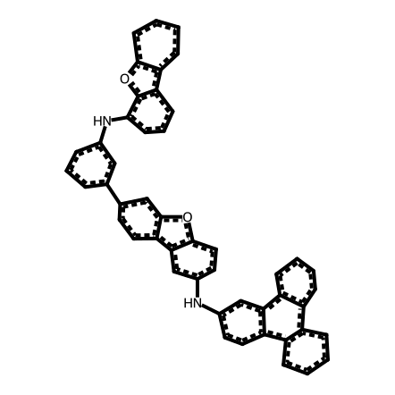 c1cc(Nc2cccc3c2oc2ccccc23)cc(-c2ccc3c(c2)oc2ccc(Nc4ccc5c6ccccc6c6ccccc6c5c4)cc23)c1